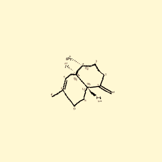 C=C1CC[C@@H](C(C)C)[C@@H]2C=C(C)CC[C@@H]12